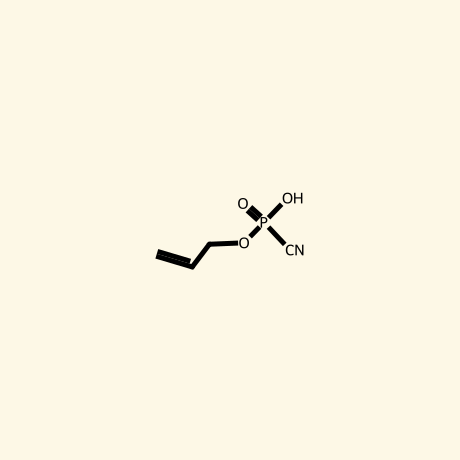 C=CCOP(=O)(O)C#N